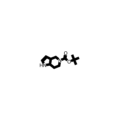 CC(C)(C)OC(=O)N1CCC2NC=CC2C1